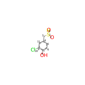 O=[SH](=O)Cc1ccc(O)c(Cl)c1